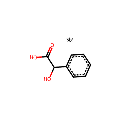 O=C(O)C(O)c1ccccc1.[Sb]